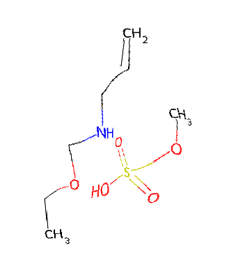 C=CCNCOCC.COS(=O)(=O)O